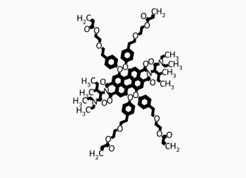 C=CC(=O)OCCOCCc1ccc(Oc2cc3c4c(cc(Oc5ccc(CCOCCOC(=O)C=C)cc5)c5c6c(Oc7ccc(CCOCCOC(=O)C=C)cc7)cc7c8c(cc(Oc9ccc(CCOCCOC(=O)C=C)cc9)c(c2c45)c86)C(=O)N(C(C(=O)N(CC)CC)C(C)CC)C7=O)C(=O)N(C(C(=O)N(CC)CC)C(C)CC)C3=O)cc1